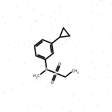 CCS(=O)(=O)N(C)c1cccc(C2CC2)c1